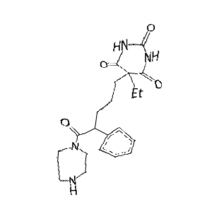 CCC1(CCCC(C(=O)N2CCNCC2)c2ccccc2)C(=O)NC(=O)NC1=O